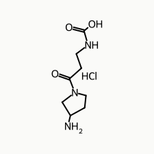 Cl.NC1CCN(C(=O)CCNC(=O)O)C1